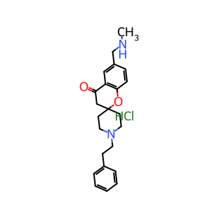 CNCc1ccc2c(c1)C(=O)CC1(CCN(CCc3ccccc3)CC1)O2.Cl